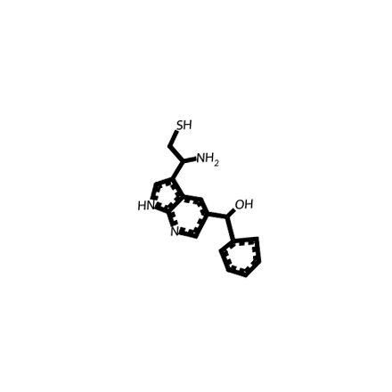 NC(CS)c1c[nH]c2ncc(C(O)c3ccccc3)cc12